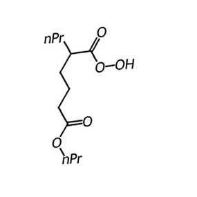 CCCOC(=O)CCCC(CCC)C(=O)OO